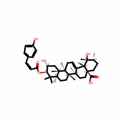 C[C@@H]1CC[C@]2(C(=O)O)CC[C@]3(C)C(=CC[C@@H]4[C@@]5(C)C[C@@H](O)[C@H](OC(=O)/C=C\c6ccc(O)cc6)C(C)(C)[C@@H]5CC[C@]43C)[C@@H]2[C@]1(C)O